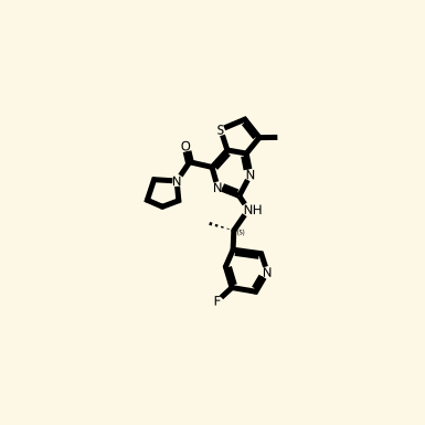 Cc1csc2c(C(=O)N3CCCC3)nc(N[C@@H](C)c3cncc(F)c3)nc12